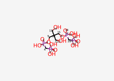 O=P(O)(O)CP(=O)(O)OCC(CO)(CO)COP(=O)(O)CP(=O)(O)O